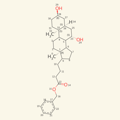 C[C@]12CCC3C(C1CCC2CCCC(=O)OCc1ccccc1)[C@@H](O)C[C@@H]1C[C@H](O)CC[C@]31C